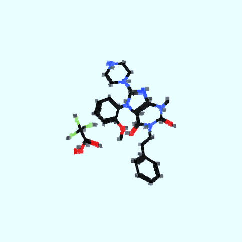 COc1ccccc1-n1c(N2CCNCC2)nc2c1c(=O)n(CCc1ccccc1)c(=O)n2C.O=C(O)C(F)(F)F